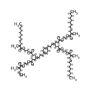 CCCCCCCCSCC(C)C(=O)OCCOC(=O)CCN(CCCN1CCN(CCCN(CCC(=O)OCCOC(=O)C(C)CSCCCCCCCC)CCC(=O)OCCOC(=O)C(C)CSCCCCCCCC)CC1)CCC(=O)OCCOC(=O)C(C)CSC